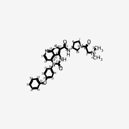 CN(C)CC(=O)N1CC[C@@H](NC(=O)c2sc3nccc4c3c2NC(=O)N4c2ccc(Oc3ccccc3)cc2)C1